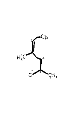 C/C(=C/Cl)CC(C)Cl